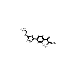 CCSc1nnc(-c2ccc(C(=O)C(C)C)cc2)o1